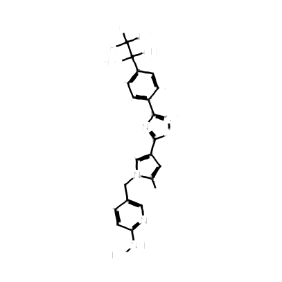 CNc1ccc(Cn2cc(-c3nc(-c4ccc(C(C)(C)C(F)(F)F)cc4)no3)cc2C)cn1